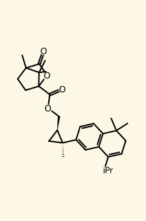 CC(C)C1=CCC(C)(C)c2ccc([C@@]3(C)C[C@H]3COC(=O)C34CCC(C)(C(=O)O3)C4(C)C)cc21